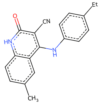 CCc1ccc(Nc2c(C#N)c(=O)[nH]c3ccc(C)cc23)cc1